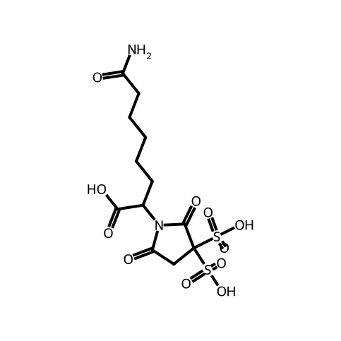 NC(=O)CCCCCC(C(=O)O)N1C(=O)CC(S(=O)(=O)O)(S(=O)(=O)O)C1=O